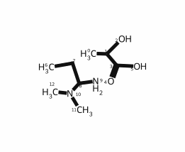 CC(O)C(=O)O.CCC(N)N(C)C